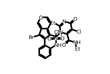 CCNC(=O)c1c(Cl)c(=O)nc(CC)n1Cc1c2ccocc-2c(Br)c1-c1ccccc1NS(=O)(=O)C(F)(F)F